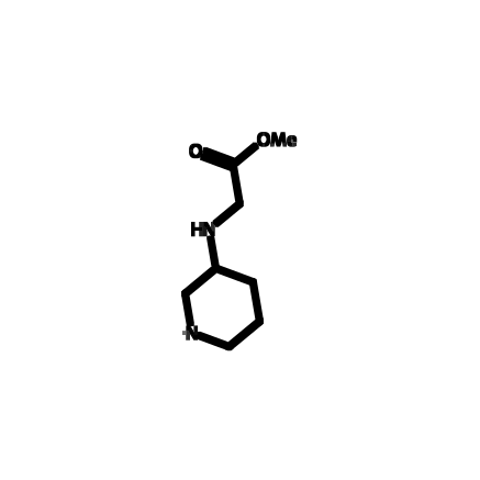 COC(=O)CNC1CCC[N]C1